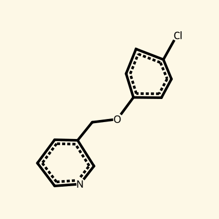 Clc1ccc(OCc2cccnc2)cc1